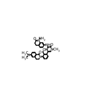 CN(C)c1ccc2c(c1)CCN(c1cccc(-c3cn(C)c(=O)c(Nc4ccc5c(c4)N(N)C(=O)CC5)n3)c1CO)C2=O